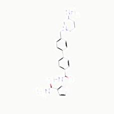 NC(=O)c1ccsc1NC(=O)c1ccc(-c2ccc(CN3CCCC(N)C3)cc2)cc1